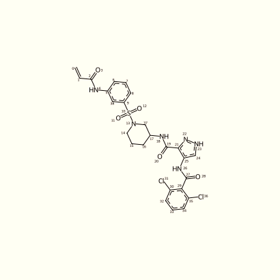 C=CC(=O)Nc1cccc(S(=O)(=O)N2CCCC(NC(=O)c3n[nH]cc3NC(=O)c3c(Cl)cccc3Cl)C2)c1